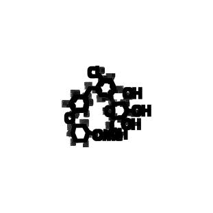 CO[C@H]1CCC[C@@H](Oc2ccc(Cc3cc([C@@H]4O[C@H](CO)[C@@H](O)[C@H](O)[C@H]4O)ccc3Cl)cc2)C1